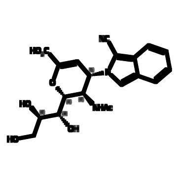 CC(=O)N[C@H]1[C@H]([C@H](O)[C@H](O)CO)OC(C(=O)O)=C[C@@H]1n1cc2ccccc2c1C#N